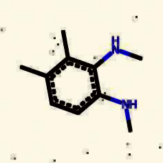 CNc1ccc(C)c(C)c1NC